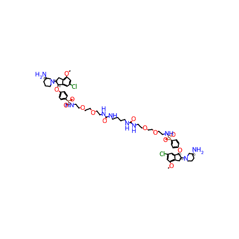 COc1cc(Cl)cc2c1C[C@H](N1CCC[C@@H](N)C1)[C@H]2Oc1ccc(S(=O)(=O)NCCOCCOCCNC(=O)NCCCCNC(=O)NCCOCCOCCNS(=O)(=O)c2ccc(O[C@H]3c4cc(Cl)cc(OC)c4C[C@@H]3N3CCC[C@@H](N)C3)cc2)cc1